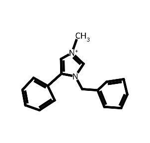 C[n+]1cc(-c2ccccc2)n(Cc2ccccc2)c1